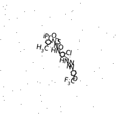 Cc1ccc(C(C)C)c(N2C(=O)CSC2=NC(=O)Nc2ccc(CNc3ncn(-c4ccc(OC(F)(F)F)cc4)n3)c(Cl)c2)c1